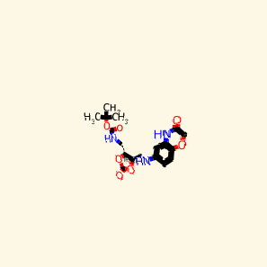 CC(C)(C)OC(=O)NC[C@H]1OC(=O)O[C@@H]1CNc1ccc2c(c1)NC(=O)CO2